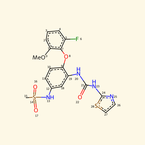 COc1cccc(F)c1Oc1ccc(NS(C)(=O)=O)cc1NC(=O)Nc1nccs1